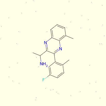 Cc1ccc(F)cc1-c1nc2c(C)cccc2nc1C(C)N